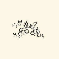 CCCCP(CCCC)c1cccc2c1C(=O)C(C)C2.COC(Pc1cccc2c1C(=O)C(C)C2)c1ccccc1